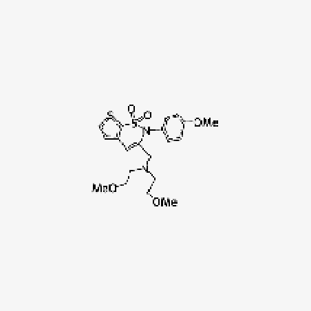 COCCN(CCOC)CC1=Cc2ccsc2S(=O)(=O)N1c1ccc(OC)cc1